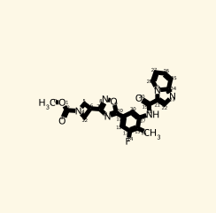 COC(=O)N1CC(c2noc(-c3cc(F)c(C)c(NC(=O)c4cnc5ccccn45)c3)n2)C1